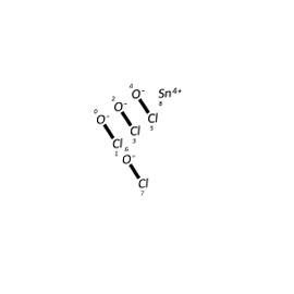 [O-]Cl.[O-]Cl.[O-]Cl.[O-]Cl.[Sn+4]